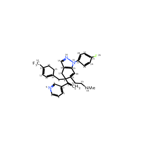 C=C(c1cccnc1)C1(CC2=CC=C(C(F)(F)F)CC2)Cc2cnn(-c3ccc(F)cc3)c2C=C1CCNC